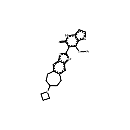 CC(C)Nc1c(-c2nc3cc4c(cc3[nH]2)CCC(N2CCC2)CC4)c(=O)[nH]c2ccsc12